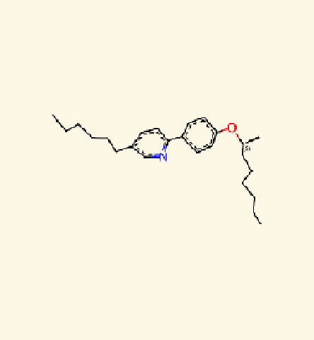 CCCCCCc1ccc(-c2ccc(O[C@@H](C)CCCCCC)cc2)nc1